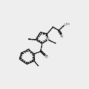 Cc1ccccc1C(=O)c1c(C)cc(CC(=O)O)n1C